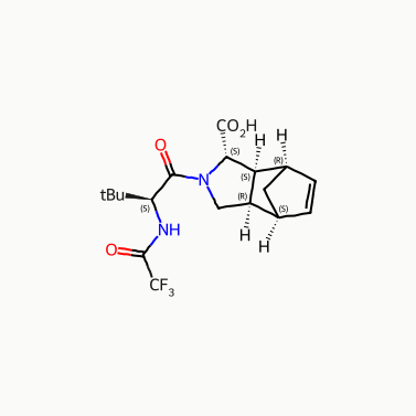 CC(C)(C)[C@H](NC(=O)C(F)(F)F)C(=O)N1C[C@H]2[C@@H]([C@H]1C(=O)O)[C@H]1C=C[C@@H]2C1